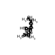 Cc1cc(C(=O)Nc2nc3ccc(N4CCC(N(C)CCN(C)C)CC4)cc3n2[C@H]2CC[C@@H](O)CC2)c(F)c(-c2cnn(C)c2)n1